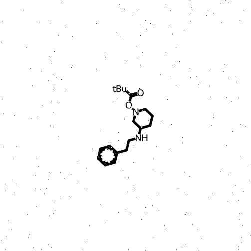 CC(C)(C)C(=O)ON1CCCC(NCCc2ccccc2)C1